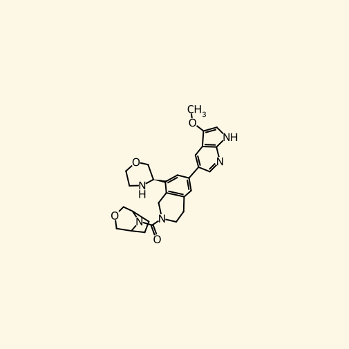 COc1c[nH]c2ncc(-c3cc4c(c([C@@H]5COCCN5)c3)CN(C(=O)N3C5CCC3COC5)CC4)cc12